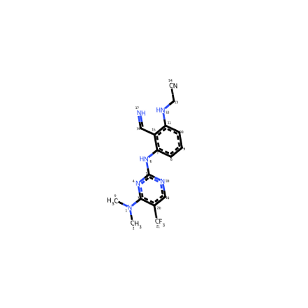 CN(C)c1nc(Nc2cccc(NCC#N)c2C=N)ncc1C(F)(F)F